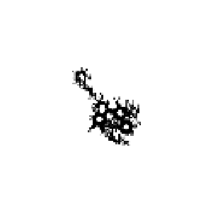 Cc1ccc(C(CC(=O)OCCCN2CCCC2)c2ccc3c(nnn3C)c2C)cc1CN1CCN(C)c2ccccc2S1(=O)=O